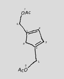 CC(=O)OCC1=CC=C(COC(C)=O)C1